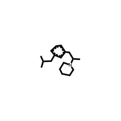 CC(C)Cc1cccc(CC(C)N2CCCCC2)c1